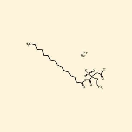 CCCCCCCCCCCCCCCC(=O)OC(=O)C(CC(=O)[O-])(OCC)S(=O)(=O)[O-].[Na+].[Na+]